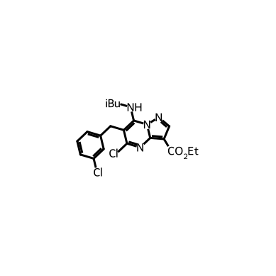 CCOC(=O)c1cnn2c(NC(C)CC)c(Cc3cccc(Cl)c3)c(Cl)nc12